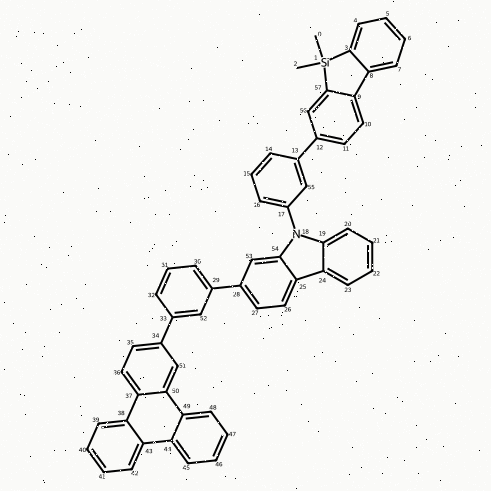 C[Si]1(C)c2ccccc2-c2ccc(-c3cccc(-n4c5ccccc5c5ccc(-c6cccc(-c7ccc8c9ccccc9c9ccccc9c8c7)c6)cc54)c3)cc21